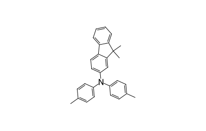 Cc1ccc(N(c2ccc(C)cc2)c2ccc3c(c2)C(C)(C)c2ccccc2-3)cc1